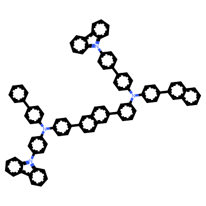 c1ccc(-c2ccc(N(c3ccc(-c4ccc5cc(-c6cccc(N(c7ccc(-c8ccc(-n9c%10ccccc%10c%10ccccc%109)cc8)cc7)c7ccc(-c8ccc9ccccc9c8)cc7)c6)ccc5c4)cc3)c3ccc(-n4c5ccccc5c5ccccc54)cc3)cc2)cc1